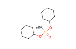 CCCCP(=O)(OC1CCCCC1)OC1CCCCC1